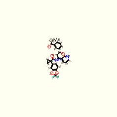 COC(=O)c1cccc([C@H]2C[C@H](NC(=O)C3(c4ccc5c(c4)OC(F)(F)O5)CC3)c3cccnc3O2)c1